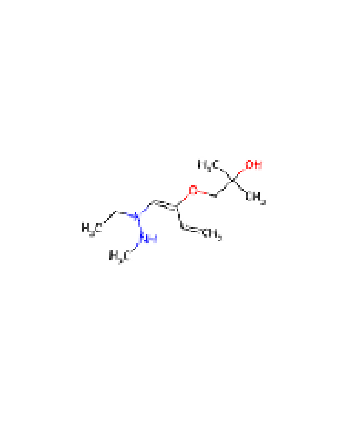 C=C/C(=C\N(CC)NC)OCC(C)(C)O